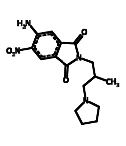 CC(CN1CCCC1)CN1C(=O)c2cc(N)c([N+](=O)[O-])cc2C1=O